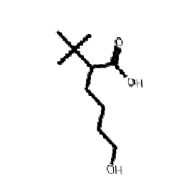 CC(C)(C)C(CCCCO)C(=O)O